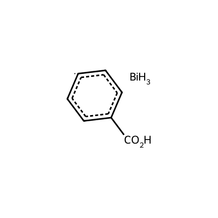 O=C(O)c1cc[c]cc1.[BiH3]